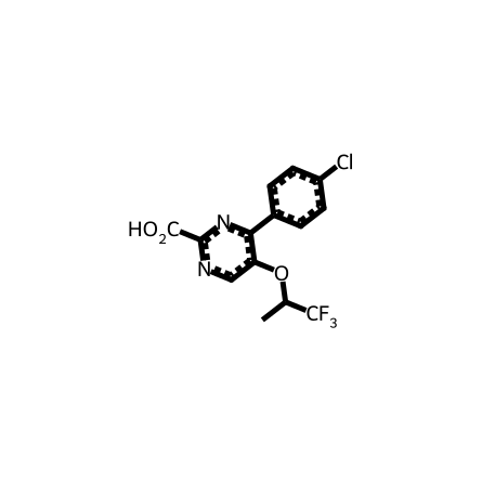 CC(Oc1cnc(C(=O)O)nc1-c1ccc(Cl)cc1)C(F)(F)F